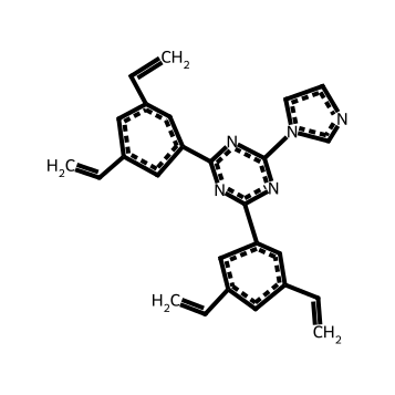 C=Cc1cc(C=C)cc(-c2nc(-c3cc(C=C)cc(C=C)c3)nc(-n3ccnc3)n2)c1